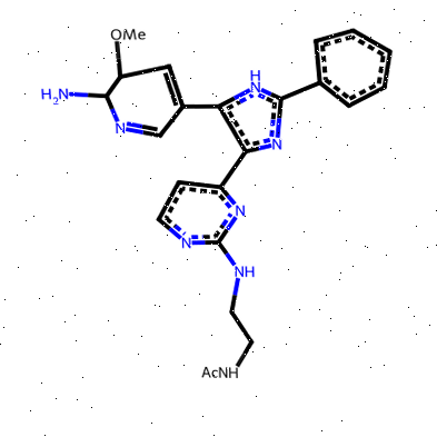 COC1C=C(c2[nH]c(-c3ccccc3)nc2-c2ccnc(NCCNC(C)=O)n2)C=NC1N